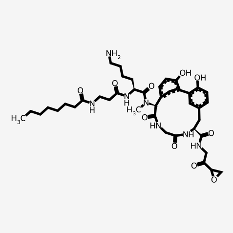 CCCCCCCC(=O)NCCC(=O)N[C@@H](CCCCN)C(=O)N(C)[C@@H]1C(=O)NCC(=O)N[C@H](C(=O)NCC(=O)C2CO2)Cc2ccc(O)c(c2)-c2cc1ccc2O